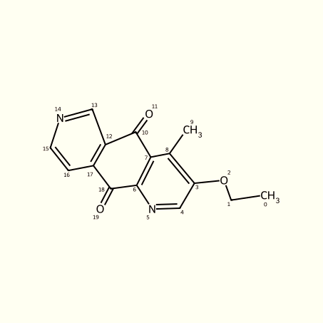 CCOc1cnc2c(c1C)C(=O)c1cnccc1C2=O